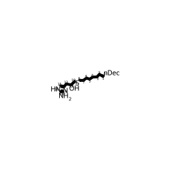 CCCCCCCCCCCCCCCCCCSCC(O)Cc1c[nH]c(N)n1